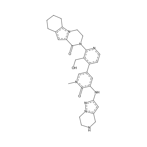 Cn1cc(-c2ccnc(N3CCn4c(cc5c4CCCC5)C3=O)c2CO)cc(Nc2cc3n(n2)CCNC3)c1=O